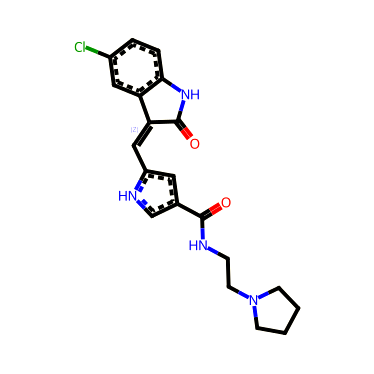 O=C1Nc2ccc(Cl)cc2/C1=C/c1cc(C(=O)NCCN2CCCC2)c[nH]1